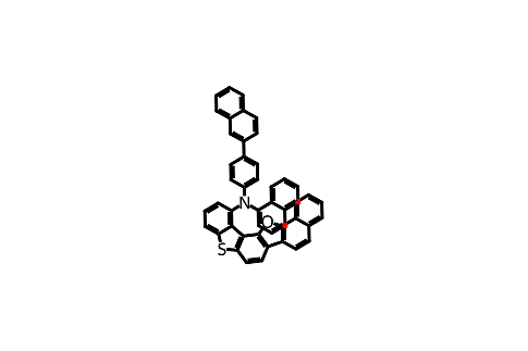 c1ccc2cc(-c3ccc(N(c4cccc5ccccc45)c4cccc5sc6ccc7c8ccc9ccccc9c8oc7c6c45)cc3)ccc2c1